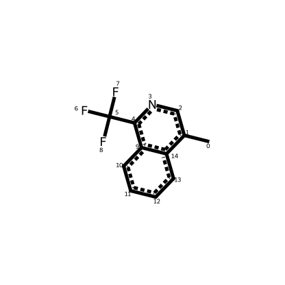 Cc1cnc(C(F)(F)F)c2ccccc12